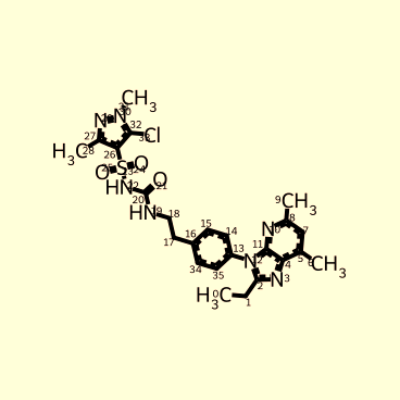 CCc1nc2c(C)cc(C)nc2n1-c1ccc(CCNC(=O)NS(=O)(=O)c2c(C)nn(C)c2Cl)cc1